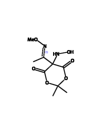 CO/N=C(\C)C1(NO)C(=O)OC(C)(C)OC1=O